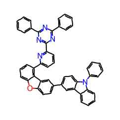 c1ccc(-c2nc(-c3ccccc3)nc(-c3cccc(-c4cccc5oc6ccc(-c7ccc8c(c7)c7ccccc7n8-c7ccccc7)cc6c45)n3)n2)cc1